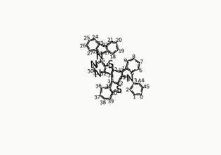 c1ccc(-n2c3ccccc3c3c4sc5c(-n6c7ccccc7c7ccccc76)ncnc5c4c4c5ccccc5sc4c32)cc1